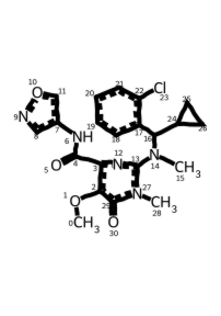 COc1c(C(=O)Nc2cnoc2)nc(N(C)C(c2ccccc2Cl)C2CC2)n(C)c1=O